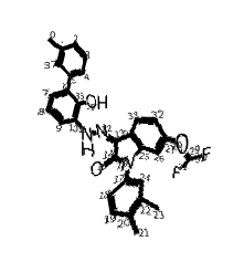 Cc1cccc(-c2cccc(N/N=C3\C(=O)N(c4ccc(C)c(C)c4)c4cc(OC(F)F)ccc43)c2O)c1